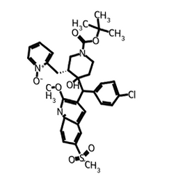 COc1nc2ccc(S(C)(=O)=O)cc2cc1C(c1ccc(Cl)cc1)C1(O)CCN(C(=O)OC(C)(C)C)C[C@H]1Cc1cccc[n+]1[O-]